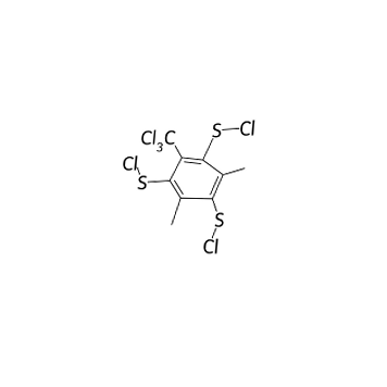 Cc1c(SCl)c(C)c(SCl)c(C(Cl)(Cl)Cl)c1SCl